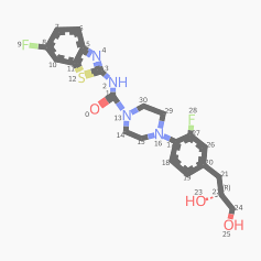 O=C(Nc1nc2ccc(F)cc2s1)N1CCN(c2ccc(C[C@@H](O)CO)cc2F)CC1